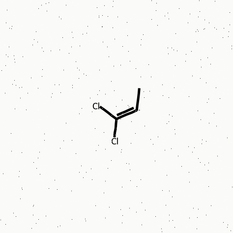 C[C]=C(Cl)Cl